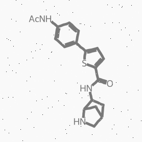 CC(=O)Nc1ccc(-c2ccc(C(=O)NC3CC4CNC3C4)s2)cc1